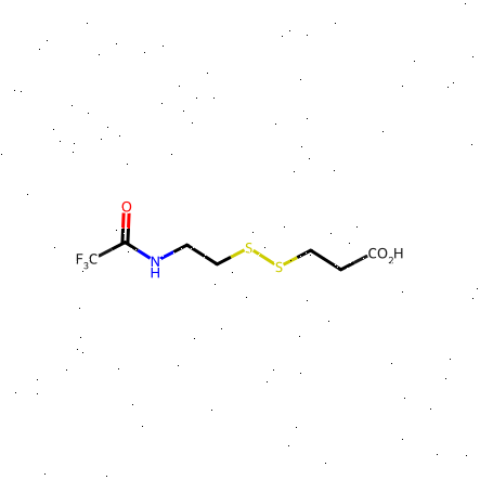 O=C(O)CCSSCCNC(=O)C(F)(F)F